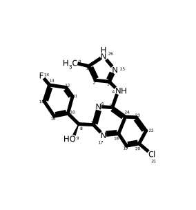 Cc1cc(Nc2nc([C@@H](O)c3ccc(F)cc3)nc3cc(Cl)ccc23)n[nH]1